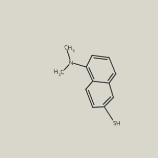 CN(C)c1cccc2cc(S)ccc12